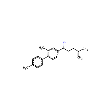 C=C(C)CCC(=N)c1ccc(-c2ccc(C)cc2)c(C)c1